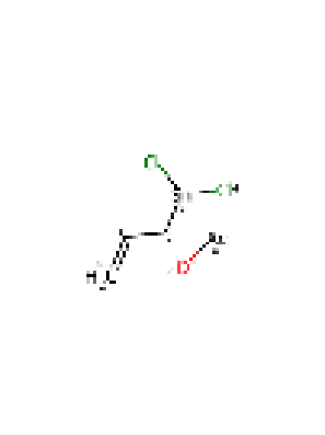 C=C[CH2][Sn+]([Cl])[Cl].CC(=O)[O-]